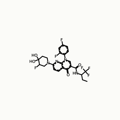 CCC(NC(=O)c1cn(-c2ccc(F)cc2F)c2nc(N3CCC(O)(O)C(F)C3)ccc2c1=O)C(F)(F)F